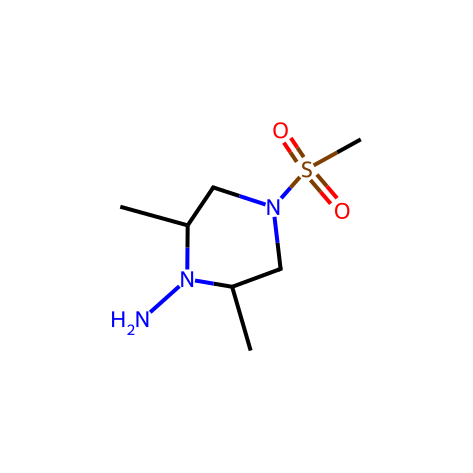 CC1CN(S(C)(=O)=O)CC(C)N1N